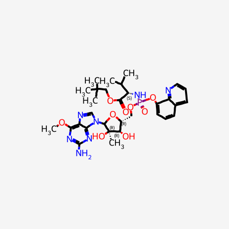 COc1nc(N)nc2c1ncn2C1O[C@H](COP(=O)(N[C@H](C(=O)OCC(C)(C)C)C(C)C)Oc2cccc3cccnc23)[C@@H](O)[C@@]1(C)O